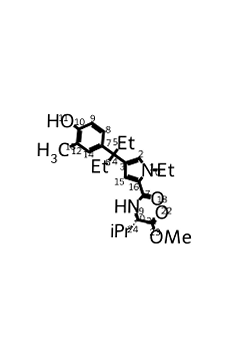 CCn1cc(C(CC)(CC)c2ccc(O)c(C)c2)cc1C(=O)N[C@H](C(=O)OC)C(C)C